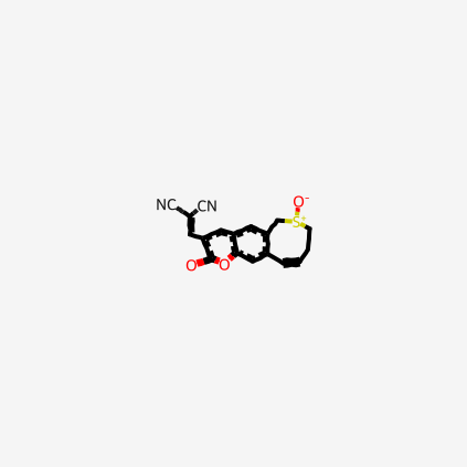 N#CC(C#N)=Cc1cc2cc3c(cc2oc1=O)C#CCC[S+]([O-])C3